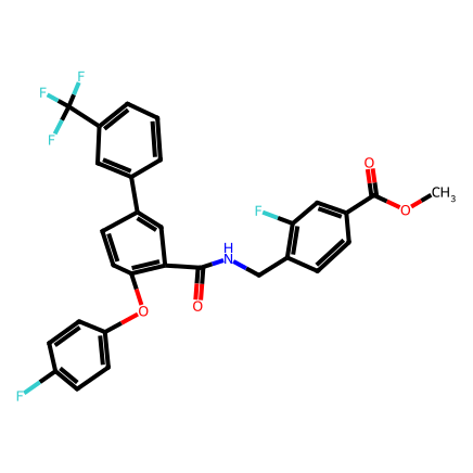 COC(=O)c1ccc(CNC(=O)c2cc(-c3cccc(C(F)(F)F)c3)ccc2Oc2ccc(F)cc2)c(F)c1